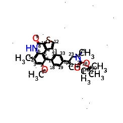 COc1cc(C)c2[nH]c(=O)c3sccc3c2c1-c1ccc([C@@H](C)CN(C)C(=O)OC(C)(C)C)cc1